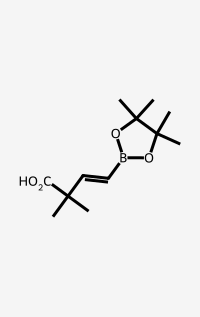 CC(C)(/C=C/B1OC(C)(C)C(C)(C)O1)C(=O)O